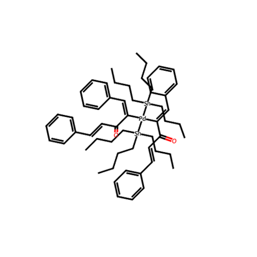 CCC[CH2][Sn]([CH2]CCC)([CH2]CCC)[Pd]([C](=Cc1ccccc1)C(=O)C=Cc1ccccc1)([C](=Cc1ccccc1)C(=O)C=Cc1ccccc1)[Sn]([CH2]CCC)([CH2]CCC)[CH2]CCC